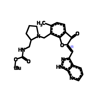 Cc1ccc2c(c1CN1CCCC1CNC(=O)OC(C)(C)C)O/C(=C\c1n[nH]c3ncccc13)C2=O